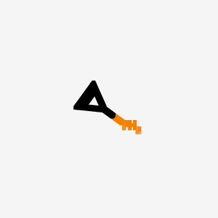 PC1C=C1